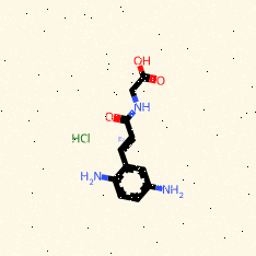 Cl.Nc1ccc(N)c(/C=C/C(=O)NCC(=O)O)c1